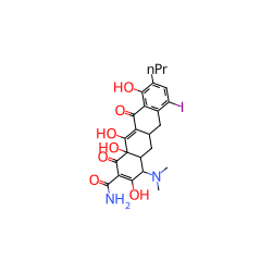 CCCc1cc(I)c2c(c1O)C(=O)C1=C(O)C3(O)C(=O)C(C(N)=O)=C(O)C(N(C)C)C3CC1C2